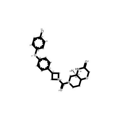 O=C1COC2CCN(C(=O)N3CC(c4ccc(Oc5ccc(Cl)cc5)cc4)C3)C[C@H]2N1